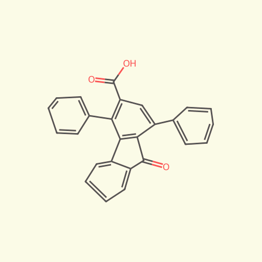 O=C(O)c1cc(-c2ccccc2)c2c(c1-c1ccccc1)-c1ccccc1C2=O